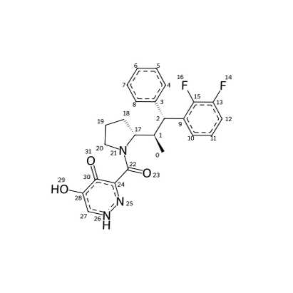 C[C@H]([C@H](c1ccccc1)c1cccc(F)c1F)[C@H]1CCCN1C(=O)c1n[nH]cc(O)c1=O